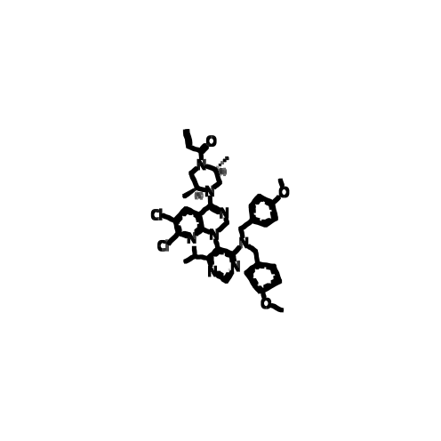 C=CC(=O)N1C[C@H](C)N(C2=NCN(c3c(C(C)C)ncnc3N(Cc3ccc(OC)cc3)Cc3ccc(OC)cc3)c3nc(Cl)c(Cl)cc32)C[C@H]1C